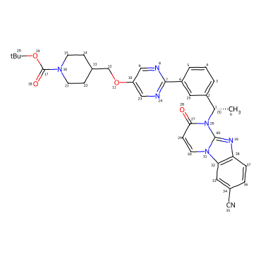 C[C@@H](c1cccc(-c2ncc(OCC3CCN(C(=O)OC(C)(C)C)CC3)cn2)c1)n1c(=O)ccn2c3cc(C#N)ccc3nc12